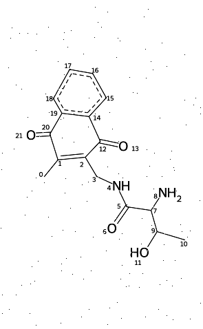 CC1=C(CNC(=O)C(N)C(C)O)C(=O)c2ccccc2C1=O